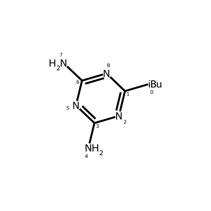 CCC(C)c1nc(N)nc(N)n1